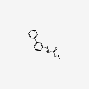 NC(=O)NSc1cccc(-c2ccccc2)c1